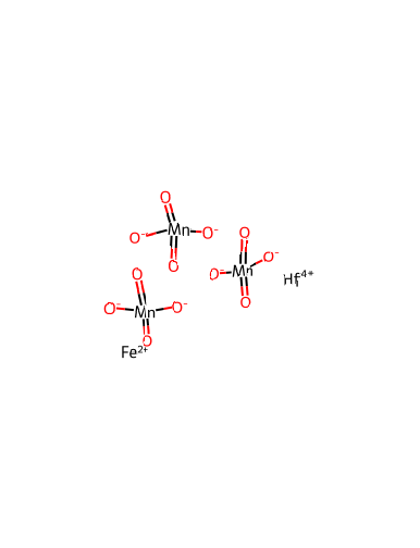 [Fe+2].[Hf+4].[O]=[Mn](=[O])([O-])[O-].[O]=[Mn](=[O])([O-])[O-].[O]=[Mn](=[O])([O-])[O-]